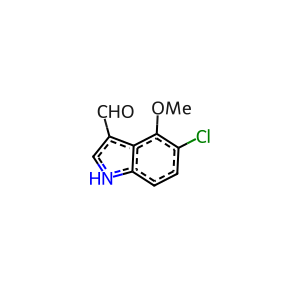 COc1c(Cl)ccc2[nH]cc(C=O)c12